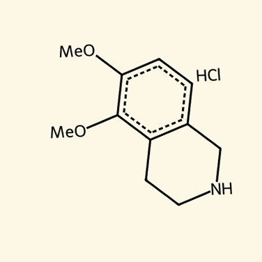 COc1ccc2c(c1OC)CCNC2.Cl